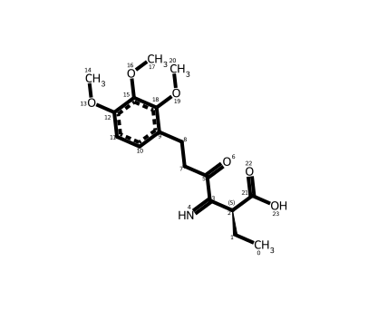 CC[C@@H](C(=N)C(=O)CCc1ccc(OC)c(OC)c1OC)C(=O)O